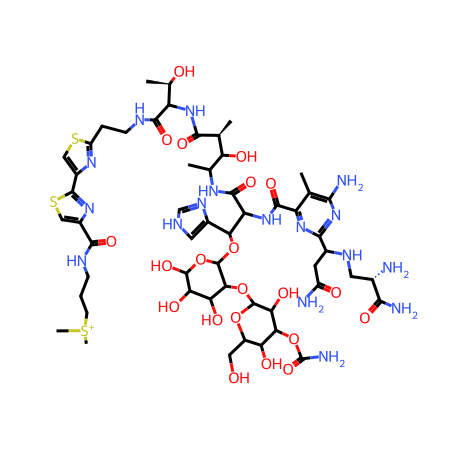 Cc1c(N)nc(C(CC(N)=O)NC[C@H](N)C(N)=O)nc1C(=O)NC(C(=O)NC(C)C(O)[C@H](C)C(=O)NC(C(=O)NCCc1nc(-c2nc(C(=O)NCCC[S+](C)C)cs2)cs1)[C@@H](C)O)C(OC1OC(O)C(O)C(O)C1OC1OC(CO)C(O)C(OC(N)=O)C1O)c1c[nH]cn1